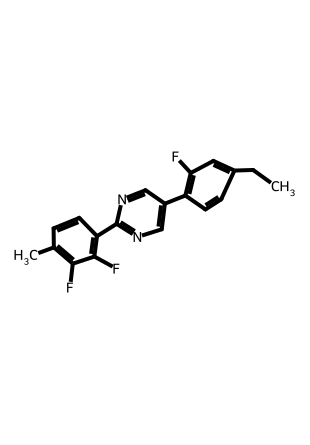 CCc1ccc(-c2cnc(-c3ccc(C)c(F)c3F)nc2)c(F)c1